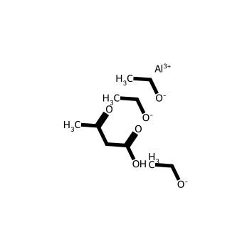 CC(=O)CC(=O)O.CC[O-].CC[O-].CC[O-].[Al+3]